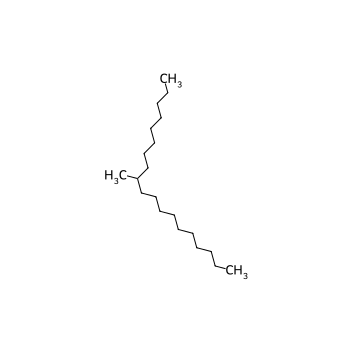 CCCCCCCCCCC(C)CCCCCCCC